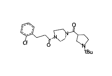 CC(C)(C)N1CCC(C(=O)N2CCN(C(=O)CCc3ccccc3Cl)CC2)C1